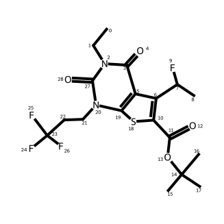 CCn1c(=O)c2c(C(C)F)c(C(=O)OC(C)(C)C)sc2n(CCC(F)(F)F)c1=O